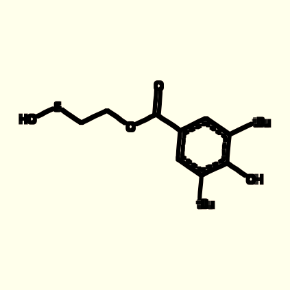 CC(C)(C)c1cc(C(=O)OCCSO)cc(C(C)(C)C)c1O